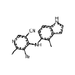 Cc1ncc(C#N)c(Nc2ccc3[nH]ccc3c2C)c1Br